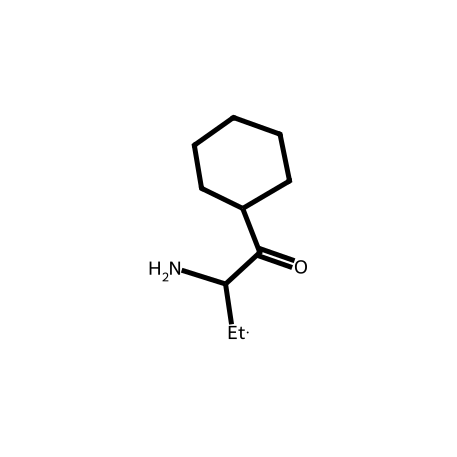 C[CH]C(N)C(=O)C1CCCCC1